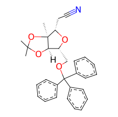 CC1(C)O[C@@H]2[C@@H](COC(c3ccccc3)(c3ccccc3)c3ccccc3)O[C@@H](CC#N)[C@]2(C)O1